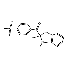 CCC(Cc1ccccc1)(C(=O)c1ccc(S(C)(=O)=O)cc1)N(C)C